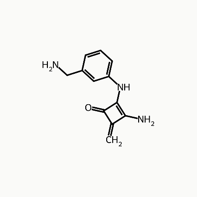 C=C1C(=O)C(Nc2cccc(CN)c2)=C1N